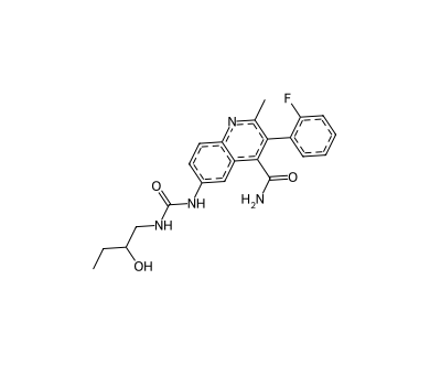 CCC(O)CNC(=O)Nc1ccc2nc(C)c(-c3ccccc3F)c(C(N)=O)c2c1